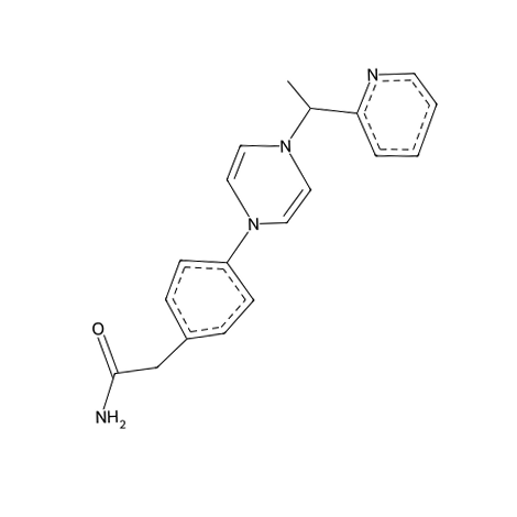 CC(c1ccccn1)N1C=CN(c2ccc(CC(N)=O)cc2)C=C1